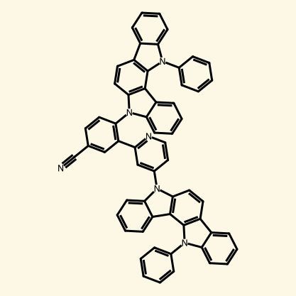 N#Cc1ccc(-n2c3ccccc3c3c2ccc2c4ccccc4n(-c4ccccc4)c23)c(-c2cc(-n3c4ccccc4c4c3ccc3c5ccccc5n(-c5ccccc5)c34)ccn2)c1